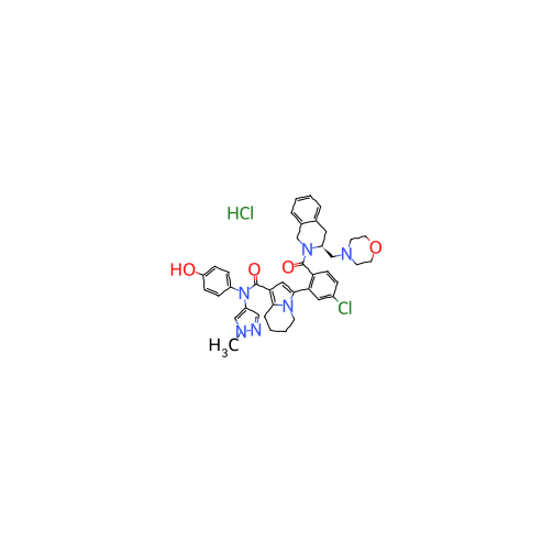 Cl.Cn1cc(N(C(=O)c2cc(-c3cc(Cl)ccc3C(=O)N3Cc4ccccc4C[C@H]3CN3CCOCC3)n3c2CCCC3)c2ccc(O)cc2)cn1